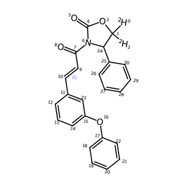 [2H]C1([2H])OC(=O)N(C(=O)/C=C/c2cccc(Oc3ccccc3)c2)C1c1ccccc1